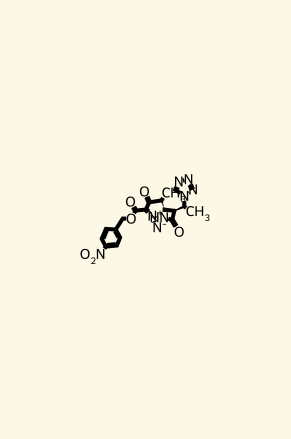 CC(C(=O)C(=[N+]=[N-])C(=O)OCc1ccc([N+](=O)[O-])cc1)[C@H]1NC(=O)[C@@H]1C(C)n1cnnn1